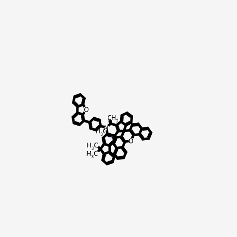 C=C(C1=C(/C=C\C)C2(c3ccccc31)c1ccc3ccccc3c1Oc1c2ccc2ccccc12)N(c1ccc(-c2cccc3c2oc2ccccc23)cc1)c1ccc2c(c1)C(C)(C)c1ccccc1-2